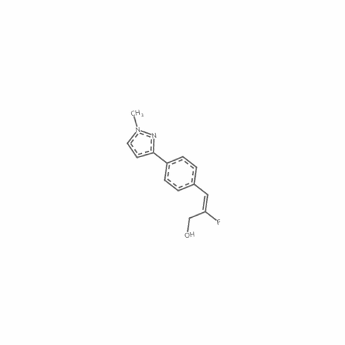 Cn1ccc(-c2ccc(/C=C(/F)CO)cc2)n1